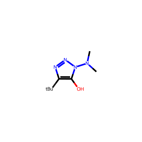 CN(C)n1nnc(C(C)(C)C)c1O